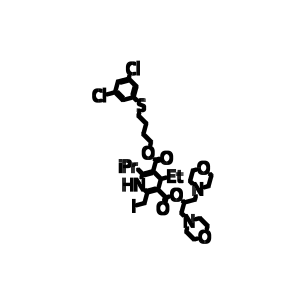 CCC1C(C(=O)OC(CN2CCOCC2)CN2CCOCC2)=C(CI)NC(C(C)C)=C1C(=O)OCCCCSc1cc(Cl)cc(Cl)c1